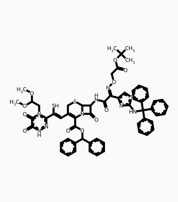 COC(Cn1c(C(S)=CC2=C(C(=O)OC(c3ccccc3)c3ccccc3)N3C(=O)C(NC(=O)C(=NOCC(=O)OC(C)(C)C)c4csc(NC(c5ccccc5)(c5ccccc5)c5ccccc5)n4)C3SC2)n[nH]c(=O)c1=O)OC